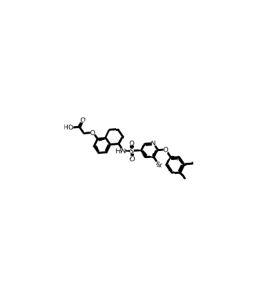 Cc1ccc(Oc2ncc(S(=O)(=O)NC3CCCc4c(OCC(=O)O)cccc43)cc2Br)cc1C